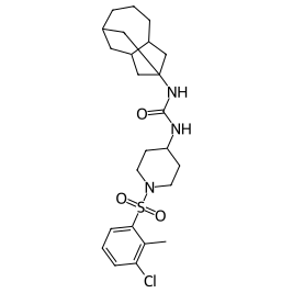 Cc1c(Cl)cccc1S(=O)(=O)N1CCC(NC(=O)NC23CC4CCCC(C2)C(C4)C3)CC1